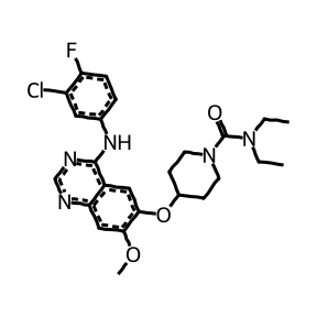 CCN(CC)C(=O)N1CCC(Oc2cc3c(Nc4ccc(F)c(Cl)c4)ncnc3cc2OC)CC1